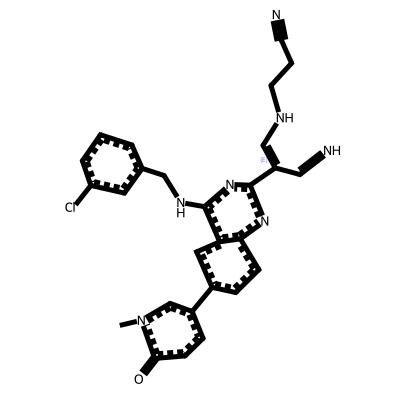 Cn1cc(-c2ccc3nc(/C(C=N)=C/NCCC#N)nc(NCc4cccc(Cl)c4)c3c2)ccc1=O